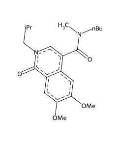 CCCCN(C)C(=O)c1cn(CC(C)C)c(=O)c2cc(OC)c(OC)cc12